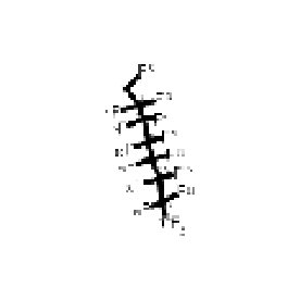 FCC(F)(F)C(F)(F)C(F)(F)C(F)(F)C(F)(F)C(F)(F)C(F)(F)F